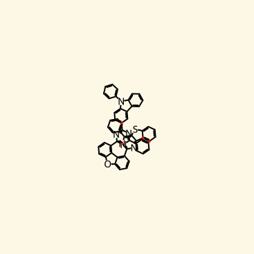 c1ccc(-c2nc(-c3ccc4c(c3)c3ccccc3n4-c3ccccc3)nc(-c3cccc4oc5cccc(-c6nc(-c7ccccc7)c7sc8ccccc8c7n6)c5c34)n2)cc1